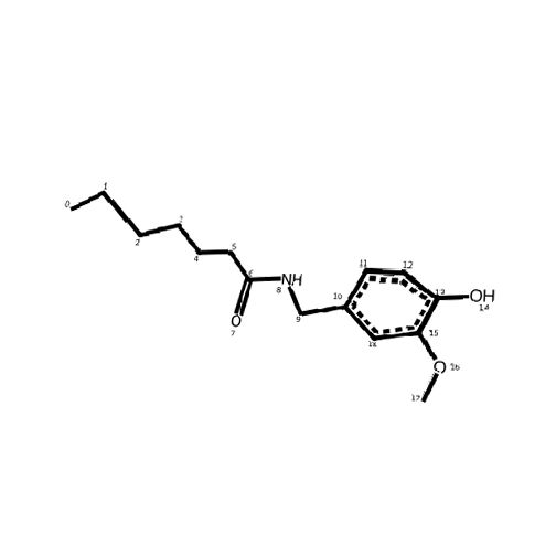 CCCCCCC(=O)NCc1ccc(O)c(OC)c1